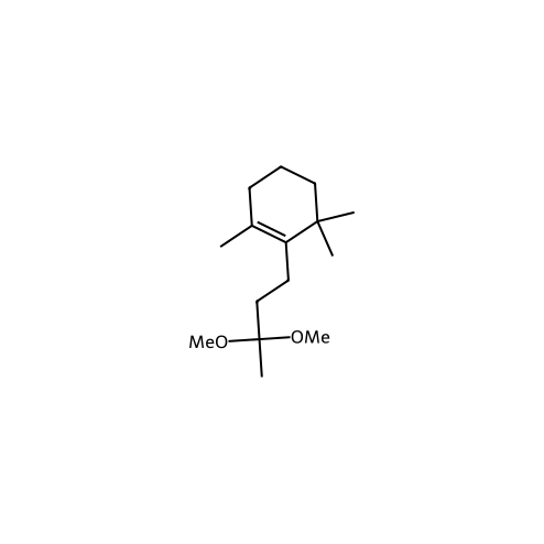 COC(C)(CCC1=C(C)CCCC1(C)C)OC